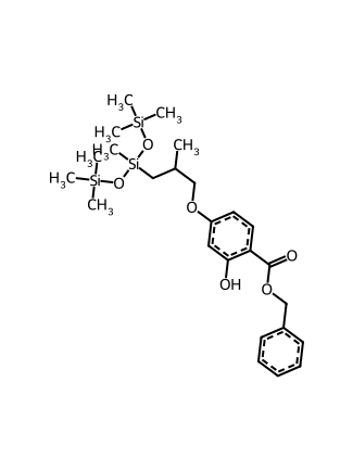 CC(COc1ccc(C(=O)OCc2ccccc2)c(O)c1)C[Si](C)(O[Si](C)(C)C)O[Si](C)(C)C